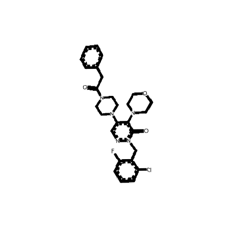 O=C(Cc1ccccc1)N1CCN(c2cnn(Cc3c(F)cccc3Cl)c(=O)c2N2CCOCC2)CC1